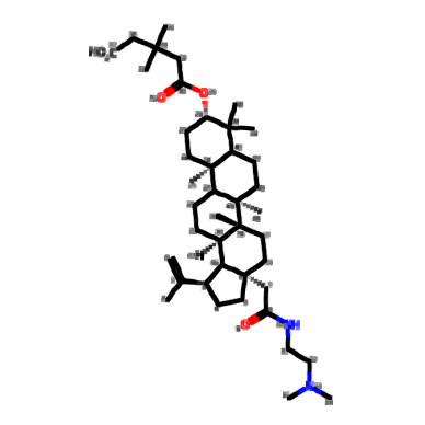 C=C(C)[C@@H]1CC[C@]2(CC(=O)NCCN(C)C)CC[C@]3(C)[C@H](CCC4[C@@]5(C)CC[C@H](OC(=O)CC(C)(C)CC(=O)O)C(C)(C)C5CC[C@]43C)C12